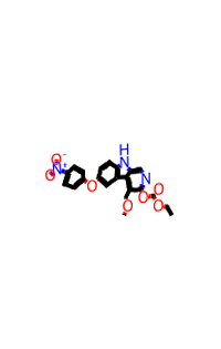 CCOC(=O)Oc1ncc2[nH]c3ccc(Oc4ccc([N+](=O)[O-])cc4)cc3c2c1COC